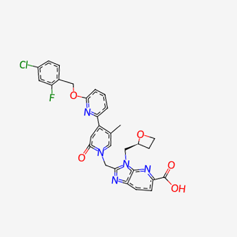 Cc1cn(Cc2nc3ccc(C(=O)O)nc3n2C[C@@H]2CCO2)c(=O)cc1-c1cccc(OCc2ccc(Cl)cc2F)n1